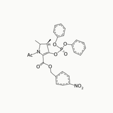 CC(=O)N1C(C(=O)OCc2ccc([N+](=O)[O-])cc2)=C(OP(=O)(Oc2ccccc2)Oc2ccccc2)[C@H](C)C1C